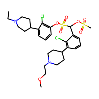 CCN1CCC(c2cccc(OS(=O)(=O)C(OS(C)(=O)=O)c3cccc(C4CCN(CCOC)CC4)c3Cl)c2Cl)CC1